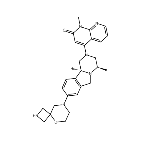 C[C@@H]1CN(c2cc(=O)n(C)c3ncccc23)C[C@@H]2c3ccc(N4CCOC5(CNC5)C4)cc3CN12